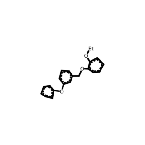 CCOc1ccccc1OCc1cccc(Oc2ccccc2)c1